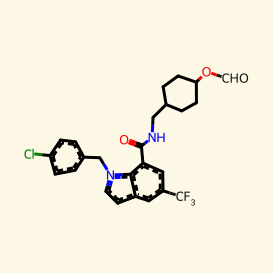 O=COC1CCC(CNC(=O)c2cc(C(F)(F)F)cc3ccn(Cc4ccc(Cl)cc4)c23)CC1